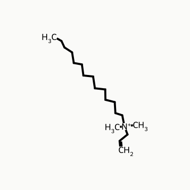 C=CC[N+](C)(C)CCCCCCCCCCCCCC